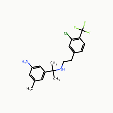 Cc1cc(N)cc(C(C)(C)NCCc2ccc(C(F)(F)F)c(Cl)c2)c1